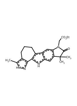 CCOC(=O)CN1C(=O)C(C)(C)c2cc3[nH]c4c(c3cc21)CCCc1c-4n[nH]c1C